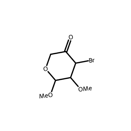 COC1OCC(=O)C(Br)C1OC